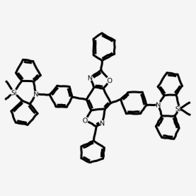 C[Si]1(C)c2ccccc2N(c2ccc(-c3c4nc(-c5ccccc5)oc4c(-c4ccc(N5c6ccccc6[Si](C)(C)c6ccccc65)cc4)c4nc(-c5ccccc5)oc34)cc2)c2ccccc21